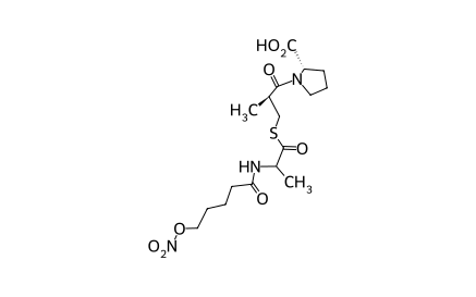 CC(NC(=O)CCCCO[N+](=O)[O-])C(=O)SC[C@@H](C)C(=O)N1CCC[C@H]1C(=O)O